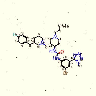 COCCN1CC[C@@H](NC(=O)Nc2cc(Br)cc(-c3nnnn3C)c2)[C@H](CN2CCCC(Cc3ccc(F)cc3)C2)C1